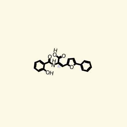 O=C(O)/C(=C\c1ccc(-c2ccccc2)o1)NC(=O)c1ccccc1O